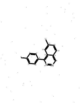 Cc1ccc(-c2nncc3ccc(C)cc23)cc1